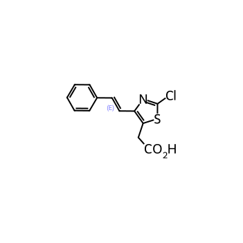 O=C(O)Cc1sc(Cl)nc1/C=C/c1ccccc1